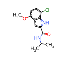 COc1ccc(Cl)c2[nH]c(C(=O)NC(C)C)cc12